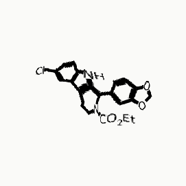 CCOC(=O)N1CCc2c([nH]c3ccc(Cl)cc23)C1c1ccc2c(c1)OCO2